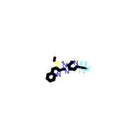 CCSc1cc2ccccc2nc1-c1nc2cc(C(F)(F)C(F)(F)F)ncc2n1C